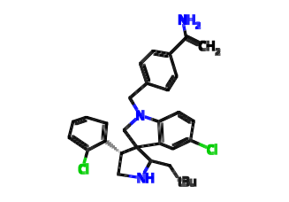 C=C(N)c1ccc(CN2CC3(c4cc(Cl)ccc42)C(CC(C)(C)C)NC[C@@H]3c2ccccc2Cl)cc1